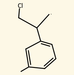 [CH2]C(CCl)c1cccc(C)c1